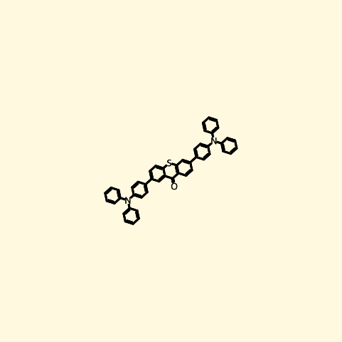 O=c1c2ccc(-c3ccc(N(c4ccccc4)c4ccccc4)cc3)cc2sc2ccc(-c3ccc(N(c4ccccc4)c4ccccc4)cc3)cc12